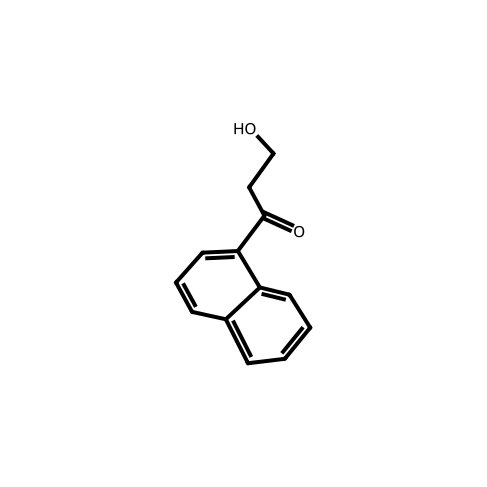 O=C(CCO)c1cccc2ccccc12